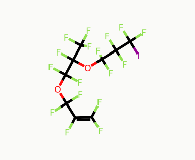 FC(F)=C(F)C(F)(F)OC(F)(F)C(F)(OC(F)(F)C(F)(F)C(F)(F)I)C(F)(F)F